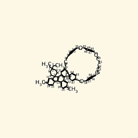 CCC1(CC)CCC2(CC1)c1cc(C)ccc1-c1c2c2c(c3cc(C)ccc13)OC1(C=C2)CCCCc2ccc(cc2)Oc2ccc(cc2)OCCCCOc2ccc(cc2)Oc2ccc1cc2